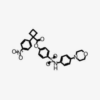 O=C(Oc1ccc(S(=O)(=O)Nc2ccc(N3CCOCC3)cc2)cc1)C1(c2ccc([N+](=O)[O-])cc2)CCC1